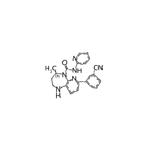 C[C@@H]1CCNc2ccc(-c3cccc(C#N)c3)nc2N1C(=O)Nc1ccccn1